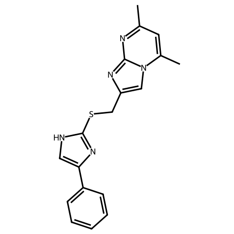 Cc1cc(C)n2cc(CSc3nc(-c4ccccc4)c[nH]3)nc2n1